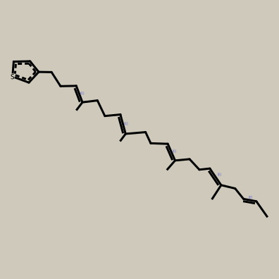 C/C=C/C/C(C)=C/CC/C(C)=C/CC/C(C)=C/CC/C(C)=C/CCc1ccsc1